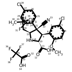 COc1ccc(Cl)cc1[C@H]1[C@H](C(=O)O)N[C@@H](CC(C)(C)C)[C@]1(C#N)c1ccc(Cl)cc1F.O=C(O)C(F)(F)F